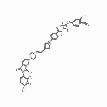 CC1(C)[C@H](NC(=O)c2ccc(N3CC(CCN4CCN(c5ccc6c(c5)C(=O)N(C5CCC(=O)NC5=O)C6=O)CC4)C3)cc2)C(C)(C)[C@H]1Oc1ccc(C#N)c(Cl)c1